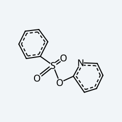 O=S(=O)(Oc1ccccn1)c1ccccc1